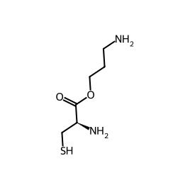 NCCCOC(=O)[C@@H](N)CS